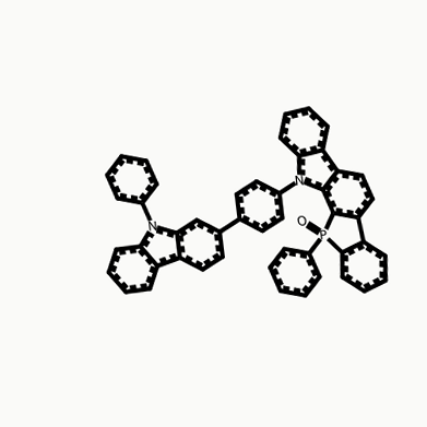 O=P1(c2ccccc2)c2ccccc2-c2ccc3c4ccccc4n(-c4ccc(-c5ccc6c7ccccc7n(-c7ccccc7)c6c5)cc4)c3c21